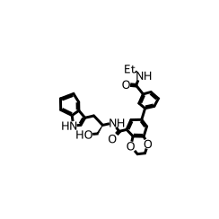 CCNC(=O)c1cccc(-c2cc3c(c(C(=O)N[C@@H](CO)Cc4c[nH]c5ccccc45)c2)OCCO3)c1